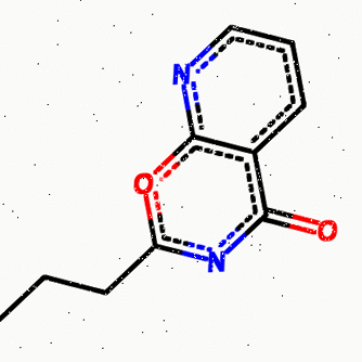 CCCc1nc(=O)c2cccnc2o1